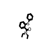 CCN(CC)C(=O)c1ccccc1Sc1ccccc1